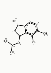 Cc1ncc2c(c1O)C(OC(C)C)OC2.Cl